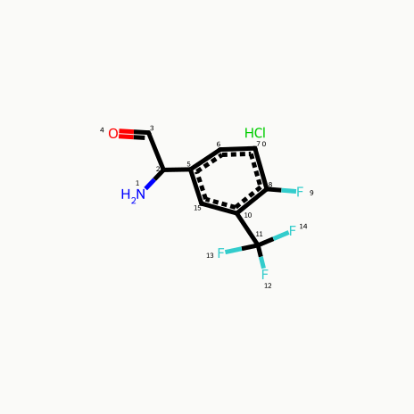 Cl.NC(C=O)c1ccc(F)c(C(F)(F)F)c1